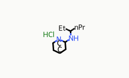 CCCC(CC)NC1CC2CCN1CC2.Cl